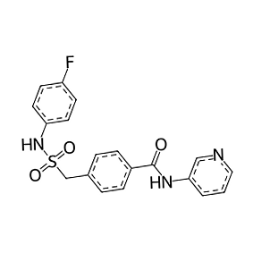 O=C(Nc1cccnc1)c1ccc(CS(=O)(=O)Nc2ccc(F)cc2)cc1